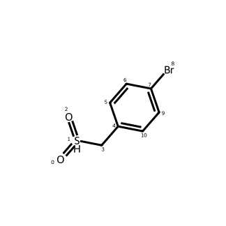 O=[SH](=O)Cc1[c]cc(Br)cc1